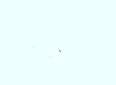 CCC(C)(C)[C@H](C)CS(=O)(=O)C(C)C